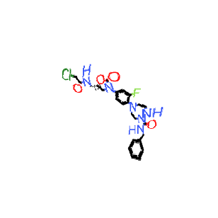 O=C(CCl)NC[C@H]1CN(c2ccc(N3CCNN(C(=O)NCc4ccccc4)CC3)c(F)c2)C(=O)O1